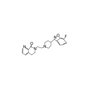 O=C1c2ncccc2CCN1CCN1CCC(c2noc3c(F)cccc23)CC1